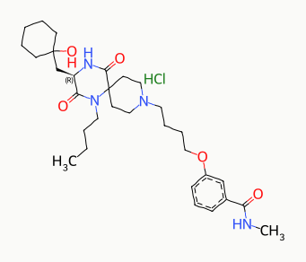 CCCCN1C(=O)[C@@H](CC2(O)CCCCC2)NC(=O)C12CCN(CCCCOc1cccc(C(=O)NC)c1)CC2.Cl